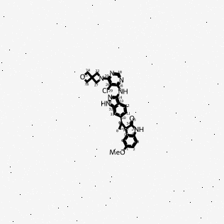 COc1ccc2c(c1)[C@]1(C[C@H]1c1ccc3c(Nc4ncnc(N5CC6(COC6)C5)c4Cl)n[nH]c3c1)C(=O)N2